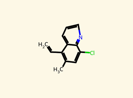 C=Cc1c(C)cc(Cl)c2ncccc12